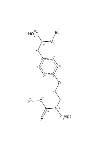 CCCCCCCN(CCOc1ccc(CC(OCC)C(=O)O)cc1)C(=O)OC(C)C